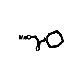 COCC(=O)N1CCCCCC1